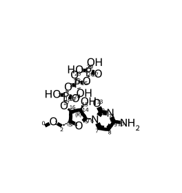 COC[C@H]1O[C@@H](n2ccc(N)nc2=O)[C@H](O)[C@@H]1OP(=O)(O)OP(=O)(O)OP(=O)(O)O